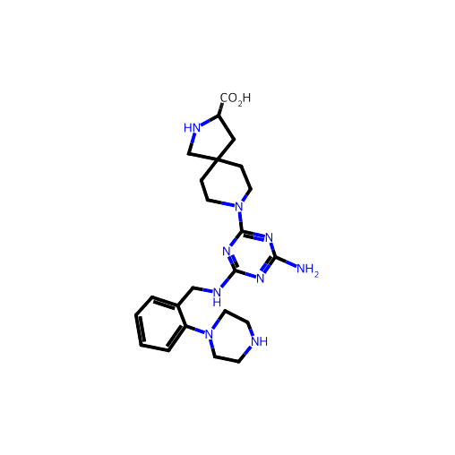 Nc1nc(NCc2ccccc2N2CCNCC2)nc(N2CCC3(CC2)CNC(C(=O)O)C3)n1